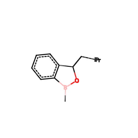 CB1OC(CC(C)C)c2ccccc21